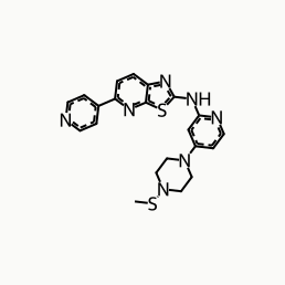 CSN1CCN(c2ccnc(Nc3nc4ccc(-c5ccncc5)nc4s3)c2)CC1